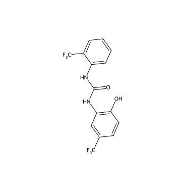 O=C(Nc1cc(C(F)(F)F)ccc1O)Nc1ccccc1C(F)(F)F